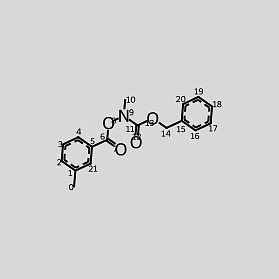 Cc1cccc(C(=O)ON(C)C(=O)OCc2ccccc2)c1